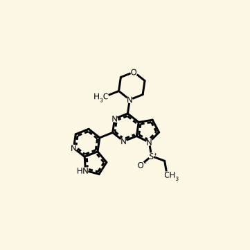 CC[S+]([O-])n1ccc2c(N3CCOCC3C)nc(-c3ccnc4[nH]ccc34)nc21